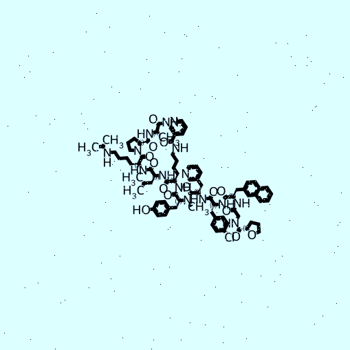 CC(C)C[C@H](NC(=O)[C@@H](CCCCNC(=O)c1cccnc1)NC(=O)[C@H](Cc1ccc(O)cc1)N(C)C(=O)[C@@H](Cc1cccnc1)NC(=O)[C@@H](Cc1ccc(Cl)cc1)NC(=O)[C@@H](Cc1ccc2ccccc2c1)NC(=O)CNC(=O)[C@@H]1CCCO1)C(=O)N[C@@H](CCCCNC(C)C)C(=O)N1CCC[C@H]1C(=O)N[C@H](C)C(N)=O